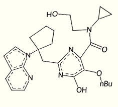 CCCCOc1c(O)nc(CC2(n3ccc4cccnc43)CCCC2)nc1C(=O)N(CCO)C1CC1